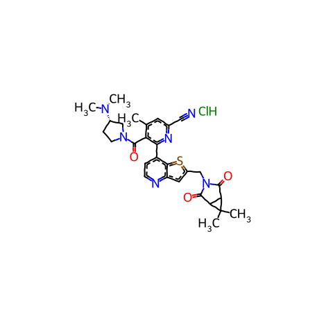 Cc1cc(C#N)nc(-c2ccnc3cc(CN4C(=O)C5C(C4=O)C5(C)C)sc23)c1C(=O)N1CC[C@H](N(C)C)C1.Cl